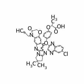 C#CCN1C(=O)COc2cc(F)c(/N=c3\snc4n3CC(C)(C)C4)cc21.CC(Oc1ccc(Oc2cnc3cc(Cl)ccc3n2)cc1)C(=O)O